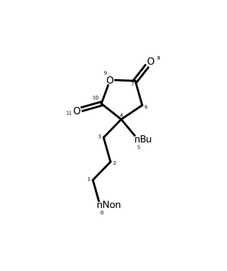 CCCCCCCCCCCCC1(CCCC)CC(=O)OC1=O